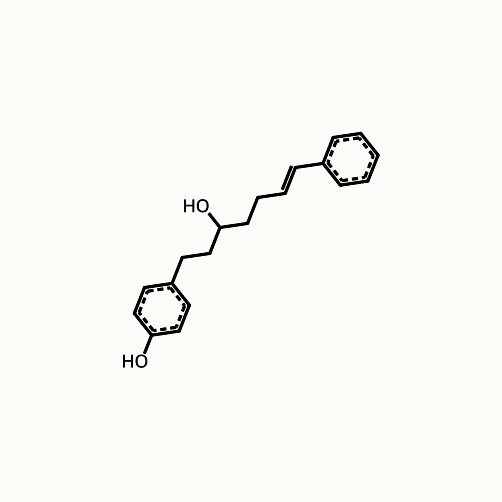 Oc1ccc(CCC(O)CC/C=C/c2ccccc2)cc1